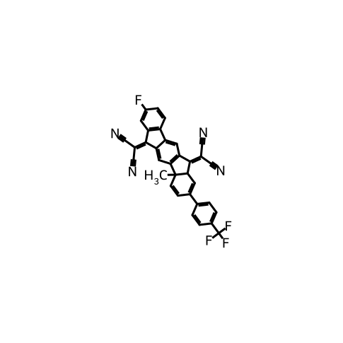 CC12C=CC(c3ccc(C(F)(F)F)cc3)=CC1C(=C(C#N)C#N)c1cc3c(cc12)C(=C(C#N)C#N)c1cc(F)ccc1-3